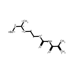 C=C(C)C(=O)NC(=O)OCCOC(C)OCCCC